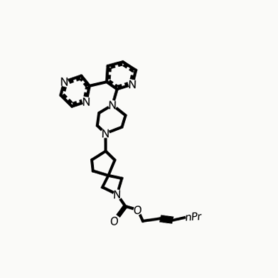 CCCC#CCOC(=O)N1CC2(CCC(N3CCN(c4ncccc4-c4cnccn4)CC3)C2)C1